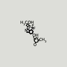 C[C@H]1CC(=O)C[C@@H](COc2cc(C(F)(F)F)c3c(cnn3C3CC(C)(O)C3)c2)N1